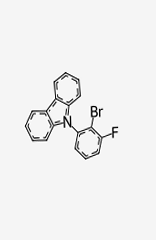 Fc1cccc(-n2c3ccccc3c3ccccc32)c1Br